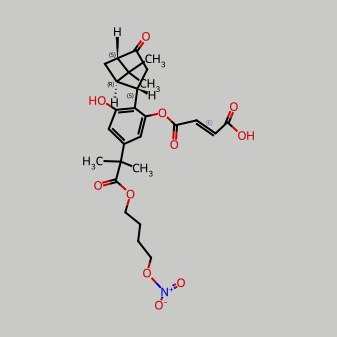 CC(C)(C(=O)OCCCCO[N+](=O)[O-])c1cc(O)c([C@H]2CC(=O)[C@H]3C[C@H]2C3(C)C)c(OC(=O)/C=C/C(=O)O)c1